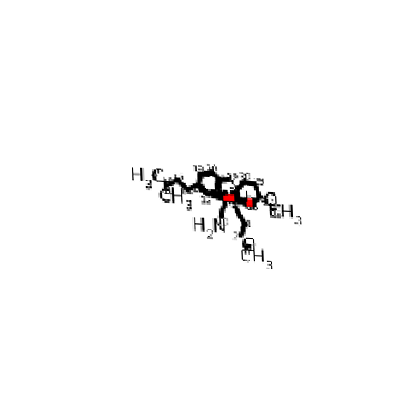 COCCN1C(=O)C2(NC1N)c1cc(CCC(C)C)ccc1C[C@]21CC[C@@H](OC)CC1